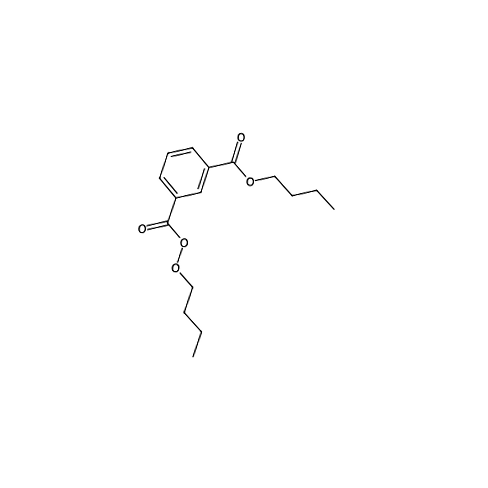 CCCCOOC(=O)c1cccc(C(=O)OCCCC)c1